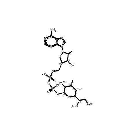 CC(=O)OC[C@@H](OC(C)=O)C1O[C@@H](OP(=O)(O)OP(=O)(O)OC[C@H]2O[C@@H](n3cnc4c(N)ncnc43)C(F)[C@H]2O)C(OC(C)=O)[C@@H](C)[C@@H]1C